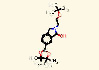 CC(C)(C)OCCN1Cc2ccc(B3OC(C)(C)C(C)(C)O3)cc2C1O